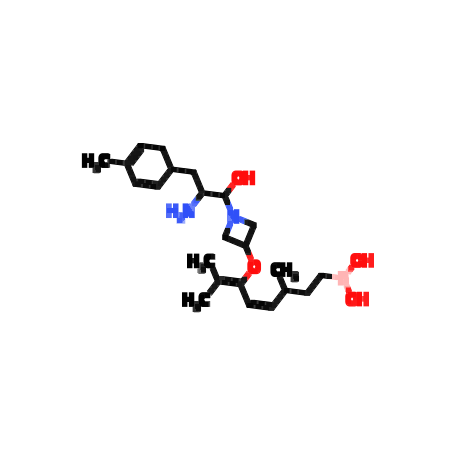 CC1=CCC(CC(N)C(O)N2CC(OC(/C=C\C(C)CCB(O)O)=C(C)C)C2)C=C1